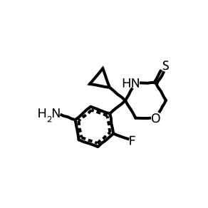 Nc1ccc(F)c(C2(C3CC3)COCC(=S)N2)c1